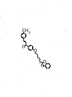 Cc1ccc(C=CC(=O)c2ccc(OCCCCSc3nc4ccccc4o3)cc2)cc1